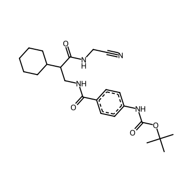 CC(C)(C)OC(=O)Nc1ccc(C(=O)NCC(C(=O)NCC#N)C2CCCCC2)cc1